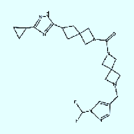 O=C(N1CC2(CC(c3nc(C4CC4)n[nH]3)C2)C1)N1CC2(CN(Cc3cnn(C(F)F)c3)C2)C1